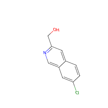 OCc1cc2ccc(Cl)cc2cn1